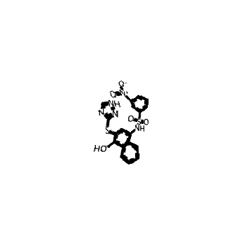 O=[N+]([O-])c1cccc(S(=O)(=O)Nc2cc(Sc3nc[nH]n3)c(O)c3ccccc23)c1